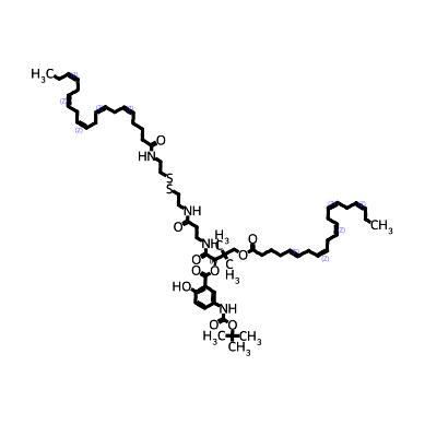 CC/C=C\C/C=C\C/C=C\C/C=C\C/C=C\CCCC(=O)NCCSSCCNC(=O)CCNC(=O)[C@H](OC(=O)c1cc(NC(=O)OC(C)(C)C)ccc1O)C(C)(C)COC(=O)CCC/C=C/C/C=C\C/C=C\C/C=C\C/C=C\CC